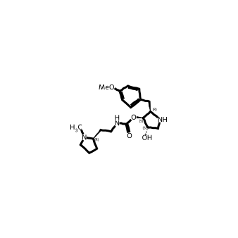 COc1ccc(C[C@H]2NC[C@H](O)[C@H]2OC(=O)NCC[C@H]2CCCN2C)cc1